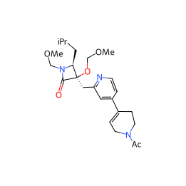 COCO[C@@]1(Cc2cc(C3=CCN(C(C)=O)CC3)ccn2)C(=O)N(COC)[C@H]1CC(C)C